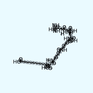 NC[C@@](C=O)(CCCCNC(=O)CC[C@H](NC(=O)CC[C@H](NC(=O)COCCOCCNC(=O)COCCOCCNC(=O)CC[C@H](NC(=O)CCCCCCCCCCCCCCCCC(=O)O)C(=O)O)C(=O)O)C(=O)O)NN